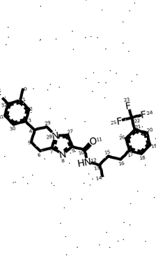 Cc1cc(C2CCc3nc(C(=O)NC(C)CCc4cccc(C(F)(F)F)c4)cn3C2)ccc1F